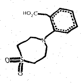 O=C(O)c1ccccc1N1CCS(=O)(=O)CC1